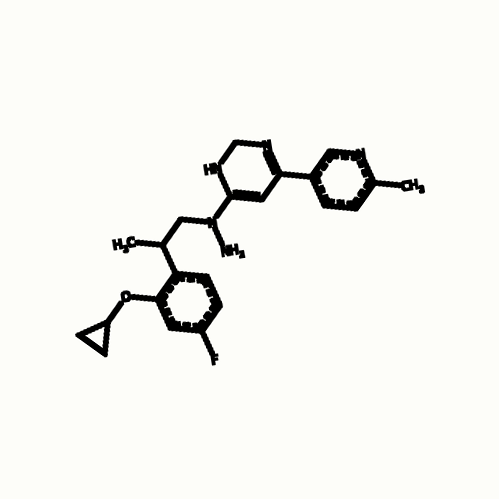 Cc1ccc(C2=NCNC(N(N)CC(C)c3ccc(F)cc3OC3CC3)=C2)cn1